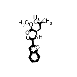 COC(=O)[C@@H](CC(C)C)NC(=O)c1cc2ccccc2o1